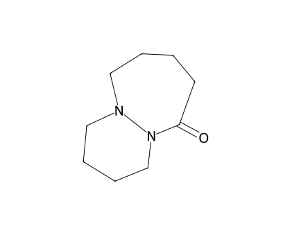 O=C1CCCCN2CCCCN12